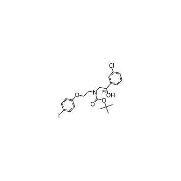 CC(C)(C)OC(=O)N(CCOc1ccc(I)cc1)C[C@H](O)c1cccc(Cl)c1